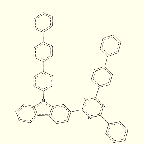 c1ccc(-c2ccc(-c3ccc(-n4c5ccccc5c5ccc(-c6nc(-c7ccccc7)nc(-c7ccc(-c8ccccc8)cc7)n6)cc54)cc3)cc2)cc1